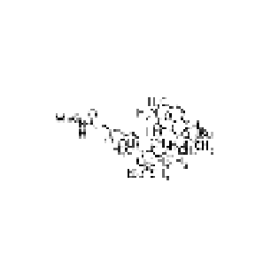 C=C/C=C\C(C)[C@H](OC(N)=O)[C@@H](C)[C@H](O[Si](C)(C)C(C)(C)C)[C@@H](C)C/C(C)=C\[C@H](C)[C@@H](O[Si](C)(C)C(C)(C)C)C(C)/C=C\C(O)CC(=O)CCC(=O)NOC